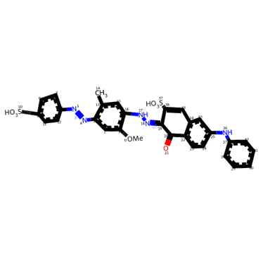 COc1cc(/N=N/c2ccc(S(=O)(=O)O)cc2)c(C)cc1N/N=C1/C(=O)c2ccc(Nc3ccccc3)cc2C=C1S(=O)(=O)O